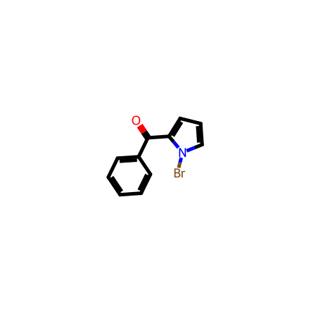 O=C(c1ccccc1)c1cccn1Br